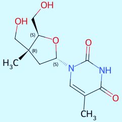 Cc1cn([C@@H]2C[C@](C)(CO)[C@@H](CO)O2)c(=O)[nH]c1=O